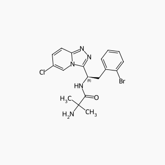 CC(C)(N)C(=O)N[C@H](Cc1ccccc1Br)c1nnc2ccc(Cl)cn12